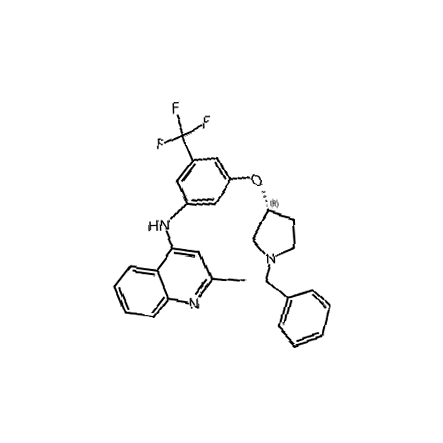 Cc1cc(Nc2cc(O[C@@H]3CCN(Cc4ccccc4)C3)cc(C(F)(F)F)c2)c2ccccc2n1